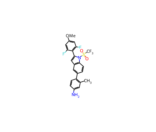 COc1cc(F)c(-c2cc3cc(-c4ccc(N)cc4C)ccc3n2S(=O)(=O)C(F)(F)F)c(F)c1